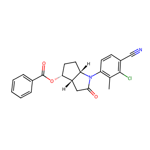 Cc1c(N2C(=O)C[C@@H]3[C@H](OC(=O)c4ccccc4)CC[C@@H]32)ccc(C#N)c1Cl